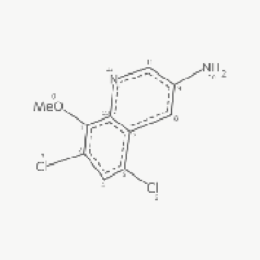 COc1c(Cl)cc(Cl)c2cc(N)cnc12